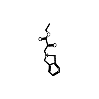 CCOC(=O)C(=O)CN1Cc2ccccc2C1